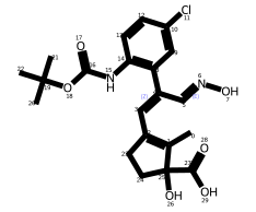 CC1=C(/C=C(\C=N\O)c2cc(Cl)ccc2NC(=O)OC(C)(C)C)CCC1(O)C(=O)O